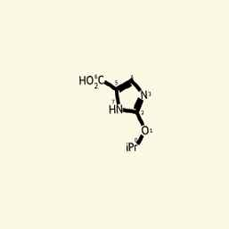 CC(C)Oc1ncc(C(=O)O)[nH]1